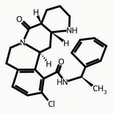 C[C@@H](NC(=O)c1c(Cl)ccc2c1[C@@H]1C[C@H]3NCCC[C@H]3C(=O)N1CC2)c1ccccc1